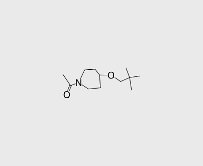 CC(=O)N1CCC(OCC(C)(C)C)CC1